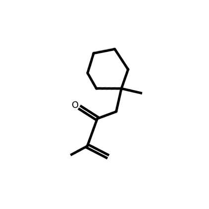 C=C(C)C(=O)CC1(C)CCCCC1